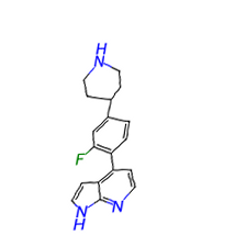 Fc1cc(C2CCNCC2)ccc1-c1ccnc2[nH]ccc12